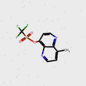 Cc1ccnc2c(OS(=O)(=O)C(F)(F)F)ccnc12